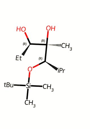 CC[C@@H](O)[C@@](C)(O)[C@H](O[Si](C)(C)C(C)(C)C)C(C)C